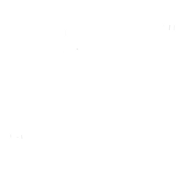 C=Cc1ccc(C(F)(F)Oc2ccc(OC(=O)OC(C)(C)C)cc2)cc1